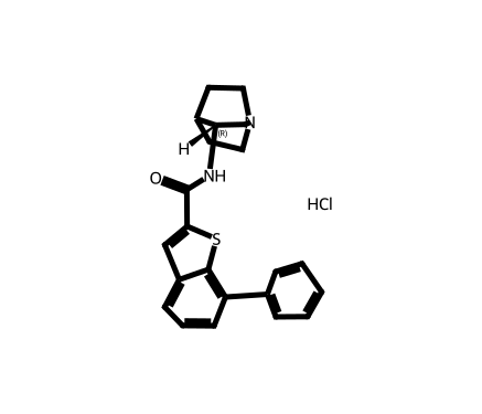 Cl.O=C(N[C@H]1CN2CCC1CC2)c1cc2cccc(-c3ccccc3)c2s1